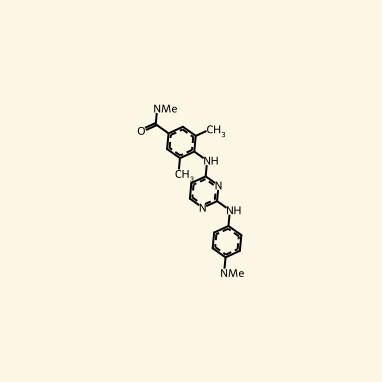 CNC(=O)c1cc(C)c(Nc2ccnc(Nc3ccc(NC)cc3)n2)c(C)c1